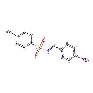 Cc1ccc(S(=O)(=O)/N=C/c2ccc(P)cc2)cc1